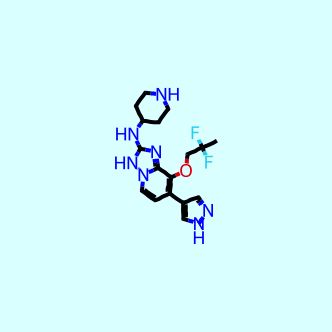 CC(F)(F)COC1=C(c2cn[nH]c2)C=CN2NC(NC3CCNCC3)N=C12